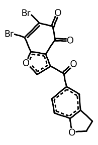 O=C1C(=O)c2c(C(=O)c3ccc4c(c3)CCO4)coc2C(Br)=C1Br